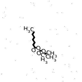 CCCCCCCC(=O)OC(=O)OC(C)(C)C